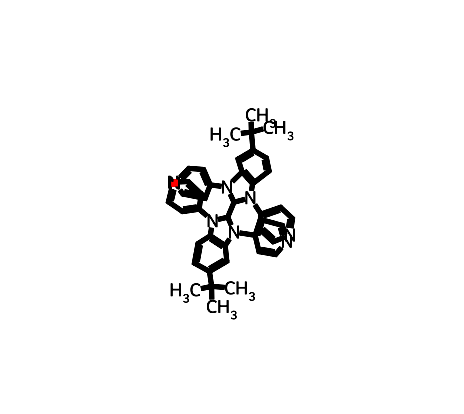 CC(C)(C)c1ccc2c(c1)N(c1ccncc1)C(C1N(c3ccncc3)c3ccc(C(C)(C)C)cc3N1c1ccncc1)N2c1ccncc1